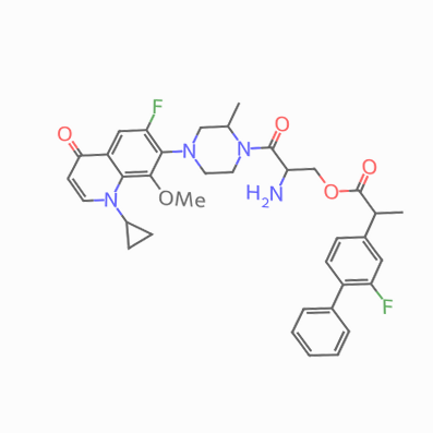 COc1c(N2CCN(C(=O)C(N)COC(=O)C(C)c3ccc(-c4ccccc4)c(F)c3)C(C)C2)c(F)cc2c(=O)ccn(C3CC3)c12